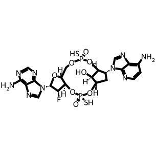 Nc1ccnc2c1ncn2[C@@H]1C[C@@H]2OP(=O)(S)O[C@H]3[C@@H](F)[C@H](n4cnc5c(N)ncnc54)O[C@@H]3COP(=O)(S)O[C@@H]1[C@@H]2O